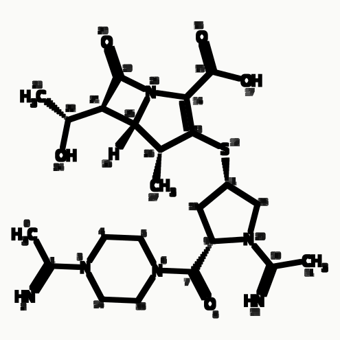 CC(=N)N1CCN(C(=O)[C@@H]2C[C@H](SC3=C(C(=O)O)N4C(=O)[C@H]([C@@H](C)O)[C@H]4[C@H]3C)CN2C(C)=N)CC1